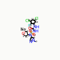 Cn1cc(N(C2CCOCC2)S(=O)(=O)NC(=O)Nc2cc(Cl)cc(Cl)c2F)cn1.[Na]